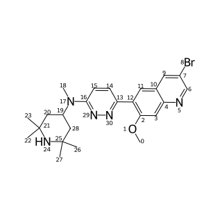 COc1cc2ncc(Br)cc2cc1-c1ccc(N(C)C2CC(C)(C)NC(C)(C)C2)nn1